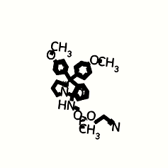 COc1ccc(C(c2ccccc2)(c2ccc(OC)cc2)[C@@H]2CCCN2C(=O)NCOP(C)OCCC#N)cc1